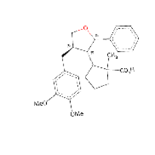 COc1ccc(C[C@H]2CO[C@H](c3ccccc3)[C@@H]2C2CCCC2(C)C(=O)O)cc1OC